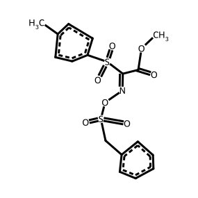 COC(=O)/C(=N/OS(=O)(=O)Cc1ccccc1)S(=O)(=O)c1ccc(C)cc1